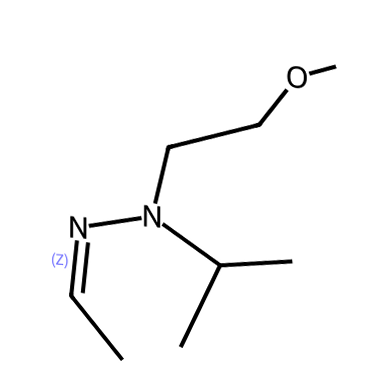 C/C=N\N(CCOC)C(C)C